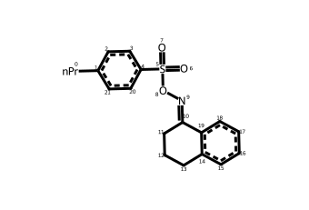 CCCc1ccc(S(=O)(=O)ON=C2CCCc3ccccc32)cc1